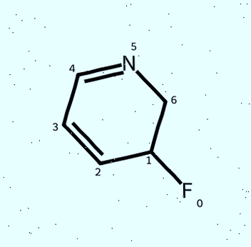 FC1C=CC=NC1